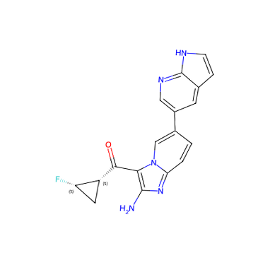 Nc1nc2ccc(-c3cnc4[nH]ccc4c3)cn2c1C(=O)[C@@H]1C[C@@H]1F